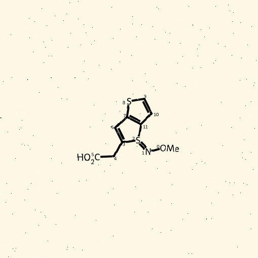 CON=S1C(CC(=O)O)=Cc2sccc21